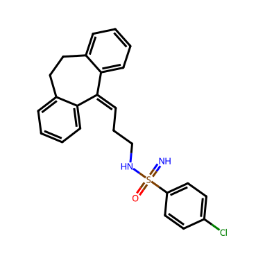 N=S(=O)(NCCC=C1c2ccccc2CCc2ccccc21)c1ccc(Cl)cc1